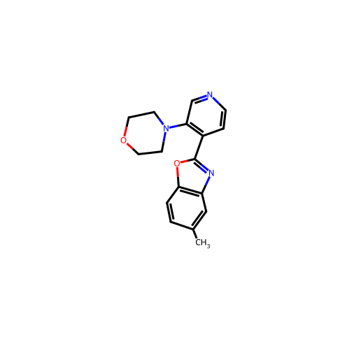 Cc1ccc2oc(-c3ccncc3N3CCOCC3)nc2c1